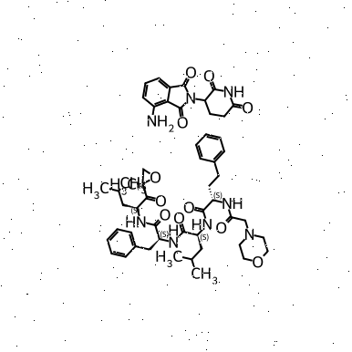 CC(C)C[C@H](NC(=O)[C@H](CCc1ccccc1)NC(=O)CN1CCOCC1)C(=O)N[C@@H](Cc1ccccc1)C(=O)N[C@@H](CC(C)C)C(=O)[C@@]1(C)CO1.Nc1cccc2c1C(=O)N(C1CCC(=O)NC1=O)C2=O